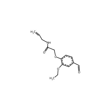 C=CCNC(=O)COc1ccc(C=O)cc1OCC